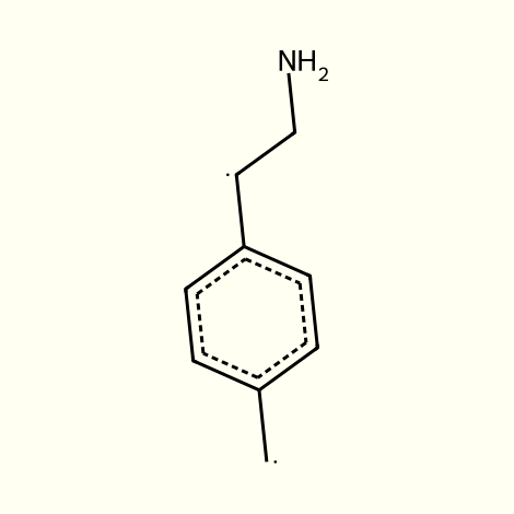 [CH2]c1ccc([CH]CN)cc1